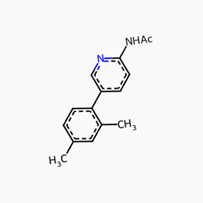 CC(=O)Nc1ccc(-c2ccc(C)cc2C)cn1